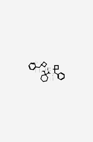 O=C(N[C@H](c1ccccc1)C1(O)CCC1)C1(C(=O)N[C@H](c2ccccc2)C2(O)CCC2)CCCCC1